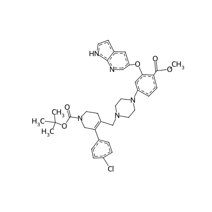 COC(=O)c1ccc(N2CCN(CC3=C(c4ccc(Cl)cc4)CN(C(=O)OC(C)(C)C)CC3)CC2)cc1Oc1cnc2[nH]ccc2c1